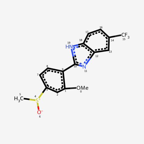 COc1cc([S+](C)[O-])ccc1-c1nc2cc(C(F)(F)F)ccc2[nH]1